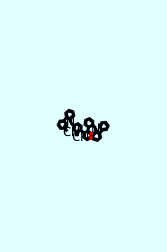 N#Cc1cc(-n2c3ccccc3c3cccc(C#N)c32)ccc1-c1ccccc1C1C=CC=CC1n1c2ccccc2c2ccccc21